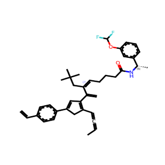 C=Cc1ccc(C2=CC(C(=C)/C(=C\CCCC(=O)N[C@@H](C)c3cccc(OC(F)F)c3)CC(C)(C)C)=C(C=C=CC)C2)cc1